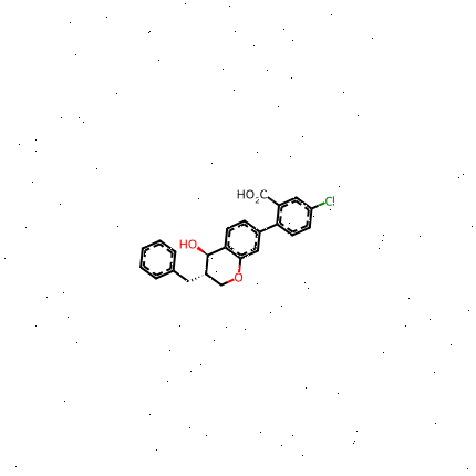 O=C(O)c1cc(Cl)ccc1-c1ccc2c(c1)OC[C@H](Cc1ccccc1)[C@H]2O